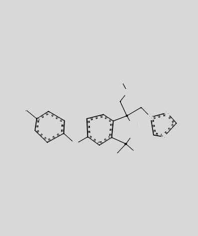 COCC(O)(Cn1cncn1)c1ccc(Oc2ccc(Cl)cc2)cc1C(F)(F)F